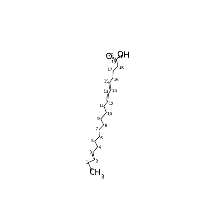 CCC=CCCCCCCCCC=CC=CCCCC(=O)O